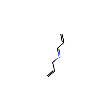 C=CC=NCC=C